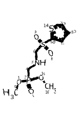 COP(=O)(CNCS(=O)(=O)c1cccs1)OC